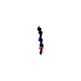 [CH2+][CH-]CCCC(=O)OC1CCC(CCc2ccc(CCCCc3ccc(-c4ccc(C)cc4)cc3)nc2)CC1